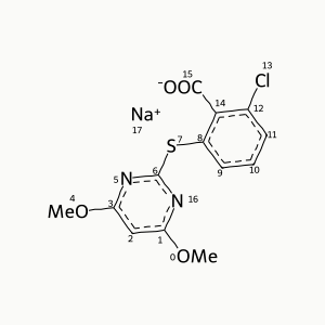 COc1cc(OC)nc(Sc2cccc(Cl)c2C(=O)[O-])n1.[Na+]